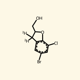 [2H]C1([2H])c2cc(Br)cc(Cl)c2OC1CO